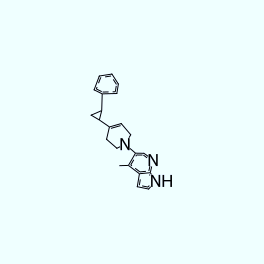 Cc1c(N2CC=C(C3CC3c3ccccc3)CC2)cnc2[nH]ccc12